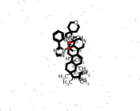 CNC1(CO[C@H]2[C@H](n3ncnc3-c3ccccc3)C[C@@]34COC[C@]2(C)[C@@H]3CC[C@H]2C4=CC[C@@]3(C)[C@H](C(=O)O)[C@@](C)([C@H](C)C(C)C)CC[C@]23C)CCOCC1